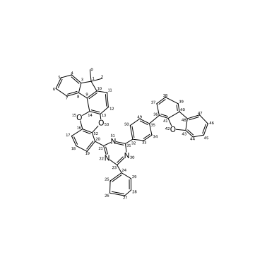 CC1(C)c2ccccc2-c2c1ccc1c2Oc2cccc(-c3nc(-c4ccccc4)nc(-c4ccc(-c5cccc6c5oc5ccccc56)cc4)n3)c2O1